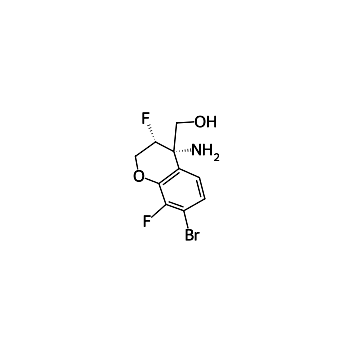 N[C@]1(CO)c2ccc(Br)c(F)c2OC[C@@H]1F